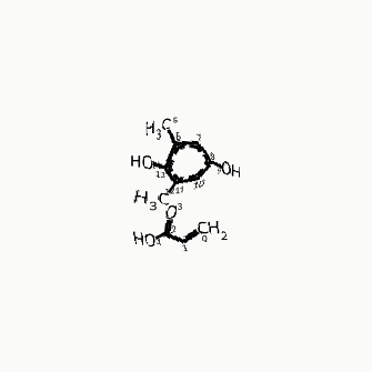 C=CC(=O)O.Cc1cc(O)cc(C)c1O